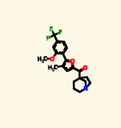 COc1cc(C(F)(F)F)ccc1-c1oc(C(=O)C23CCCN(CC2)C3)cc1C